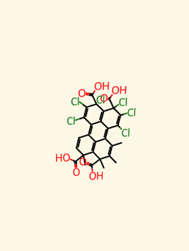 CC1=C(C)C(C)(C(=O)O)C2=c3c(c4c5c(c31)C(Cl)=C(Cl)C(Cl)(C(=O)O)C=5C(Cl)(C(=O)O)C(Cl)=C4Cl)C=CC2(C)C(=O)O